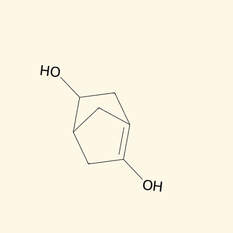 OC1=C2CC(O)C(C1)C2